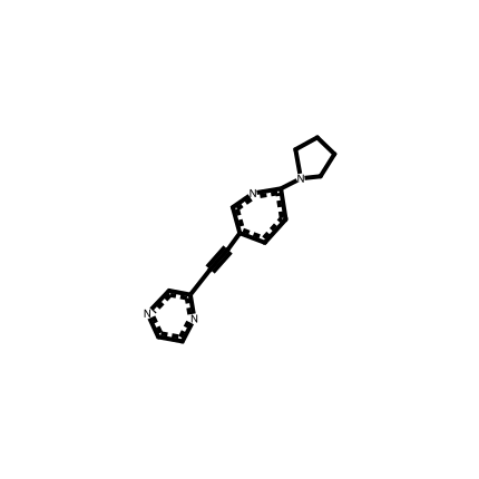 C(#Cc1cnccn1)c1ccc(N2CCCC2)nc1